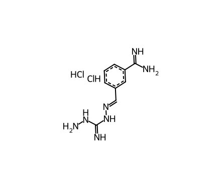 Cl.Cl.N=C(NN)NN=Cc1cccc(C(=N)N)c1